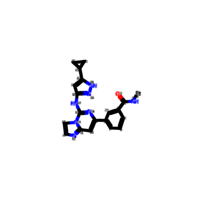 CCNC(=O)c1cccc(-c2cc3nccn3c(Nc3cc(C4CC4)[nH]n3)n2)c1